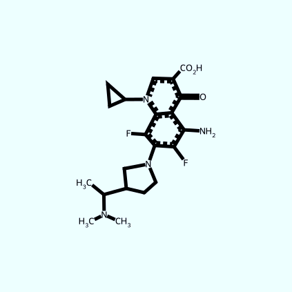 CC(C1CCN(c2c(F)c(N)c3c(=O)c(C(=O)O)cn(C4CC4)c3c2F)C1)N(C)C